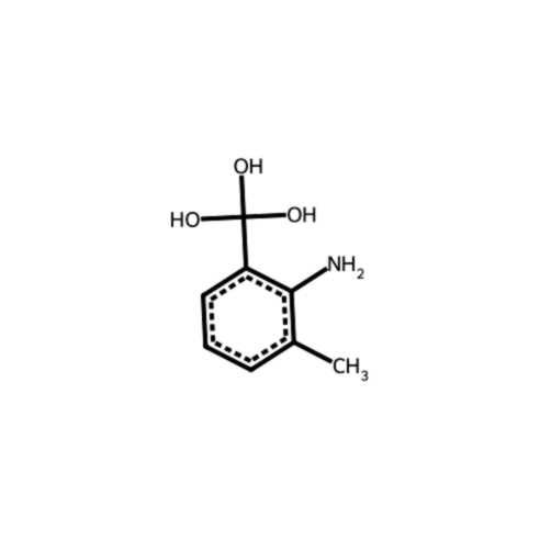 Cc1cccc(C(O)(O)O)c1N